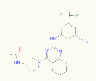 CC(=O)NC1CCN(c2nc(Nc3cc(N)cc(C(F)(F)F)c3)nc3c2CCCC3)C1